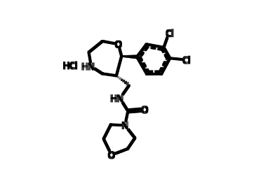 Cl.O=C(NC[C@@H]1CNCCO[C@H]1c1ccc(Cl)c(Cl)c1)N1CCOCC1